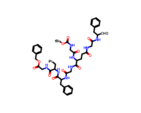 CC(C)CC(NC(=O)C(Cc1ccccc1)NC(=O)CNC(=O)C(CCC(=O)NCC(=O)NC(C=O)Cc1ccccc1)NC(=O)CNC(=O)OC(C)(C)C)C(=O)NCC(=O)OCc1ccccc1